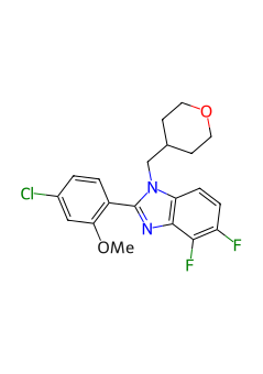 COc1cc(Cl)ccc1-c1nc2c(F)c(F)ccc2n1CC1CCOCC1